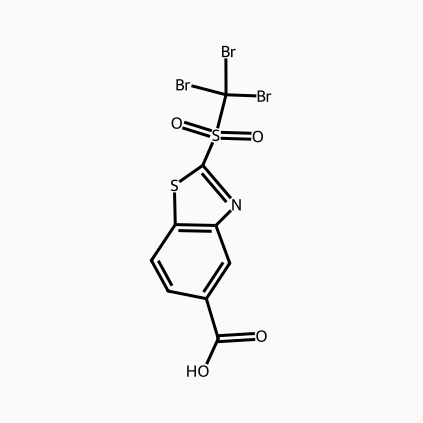 O=C(O)c1ccc2sc(S(=O)(=O)C(Br)(Br)Br)nc2c1